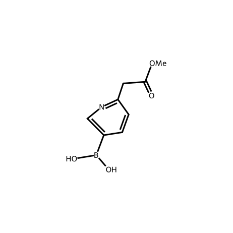 COC(=O)Cc1ccc(B(O)O)cn1